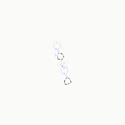 O=S(=O)(c1ccc(N2CCOCC2)nc1)N1CCN(c2ccccc2)CC1